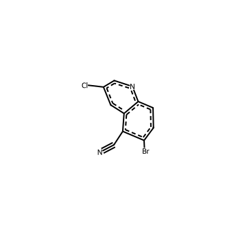 N#Cc1c(Br)ccc2ncc(Cl)cc12